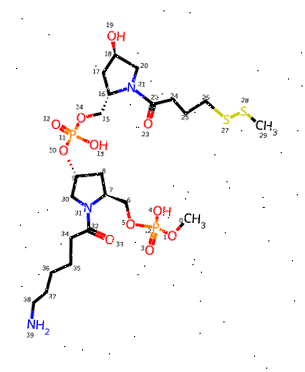 COP(=O)(O)OC[C@@H]1C[C@@H](OP(=O)(O)OC[C@@H]2C[C@@H](O)CN2C(=O)CCCSSC)CN1C(=O)CCCCCN